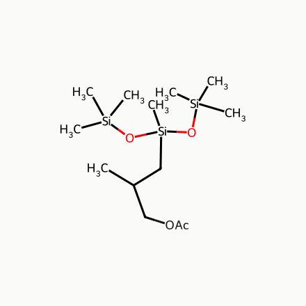 CC(=O)OCC(C)C[Si](C)(O[Si](C)(C)C)O[Si](C)(C)C